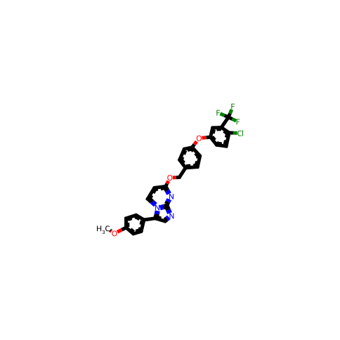 COc1ccc(-c2cnc3nc(OCc4ccc(Oc5ccc(Cl)c(C(F)(F)F)c5)cc4)ccn23)cc1